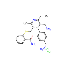 Cc1nc(CC(C)C)c(CN)c(-c2ccc(CN)cc2)c1CSc1ccccc1C(N)=O.Cl.Cl